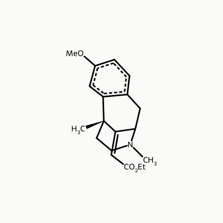 CCOC(=O)/C=C1\C2Cc3ccc(OC)cc3[C@@]1(C)CCN2C